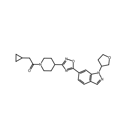 O=C(CC1CC1)N1CCC(c2noc(-c3ccc4cnn(C5CCOC5)c4c3)n2)CC1